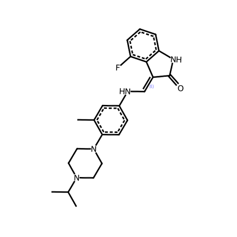 Cc1cc(N/C=C2/C(=O)Nc3cccc(F)c32)ccc1N1CCN(C(C)C)CC1